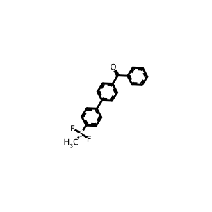 CS(F)(F)c1ccc(-c2ccc(C(=O)c3ccccc3)cc2)cc1